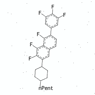 CCCCCC1CCC(c2cc3ccc(-c4cc(F)c(F)c(F)c4)c(F)c3c(F)c2F)CC1